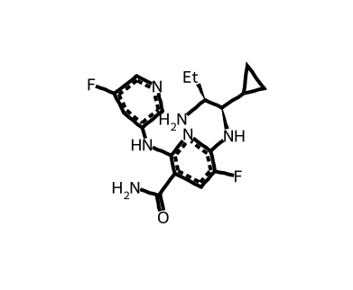 CC[C@H](N)[C@H](Nc1nc(Nc2cncc(F)c2)c(C(N)=O)cc1F)C1CC1